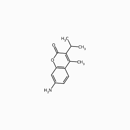 Cc1c(C(C)C)c(=O)oc2cc(N)ccc12